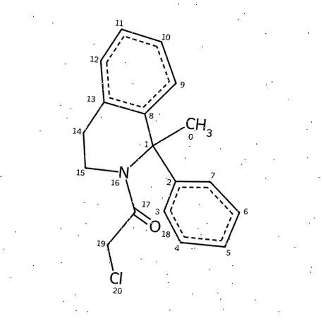 CC1(c2ccccc2)c2ccccc2CCN1C(=O)CCl